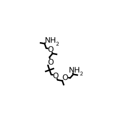 CC(N)COC(C)COCC(C)(C)COCC(C)OCC(C)N